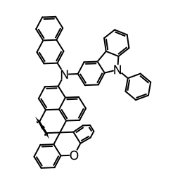 c1ccc(-n2c3ccccc3c3cc(N(c4ccc5ccccc5c4)c4ccc5c6c(cccc46)C4(c6ccccc6Oc6ccccc64)c4ccccc4-5)ccc32)cc1